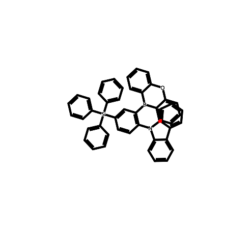 c1ccc([Si](c2ccccc2)(c2ccccc2)c2ccc(-n3c4ccccc4c4ccccc43)c(B3c4ccccc4Oc4ccccc43)c2)cc1